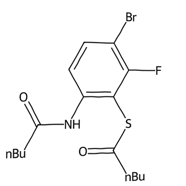 CCCCC(=O)Nc1ccc(Br)c(F)c1SC(=O)CCCC